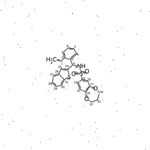 C=Cc1ccccc1C(NS(=O)(=O)c1ccc2c(c1)OCCCO2)c1cc2ccccc2s1